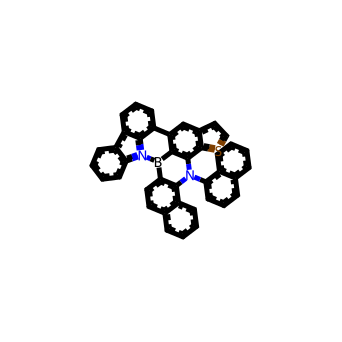 c1ccc2c(N3c4c(ccc5ccccc45)B4c5c(cc6ccsc6c53)-c3cccc5c6ccccc6n4c35)cccc2c1